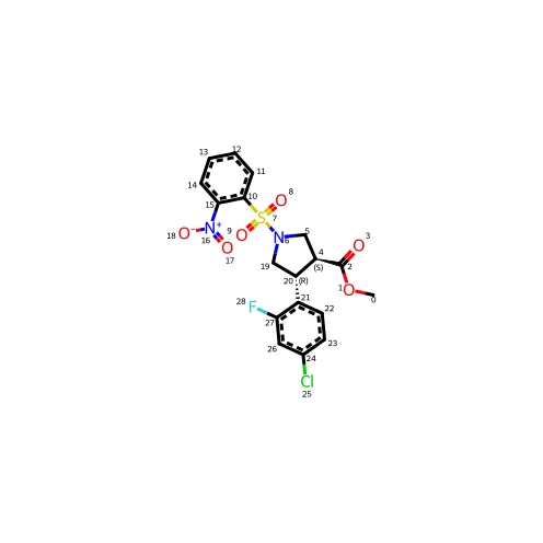 COC(=O)[C@@H]1CN(S(=O)(=O)c2ccccc2[N+](=O)[O-])C[C@H]1c1ccc(Cl)cc1F